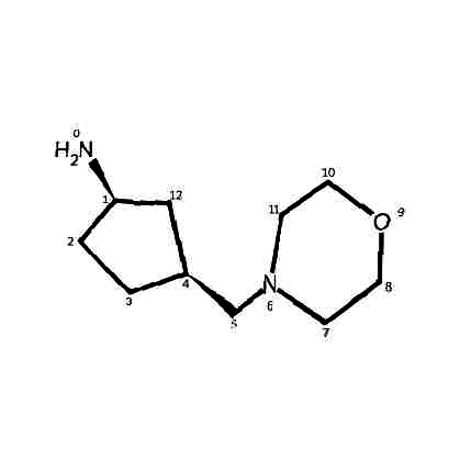 N[C@@H]1CC[C@H](CN2CCOCC2)C1